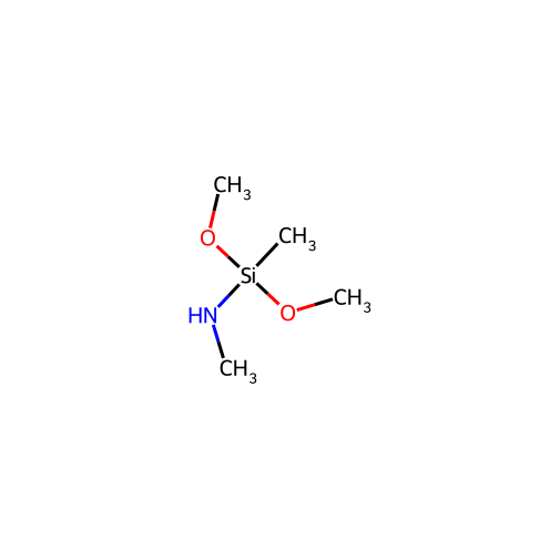 CN[Si](C)(OC)OC